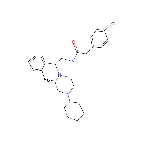 COc1ccccc1C(CNC(=O)Cc1ccc(Cl)cc1)N1CCN(C2CCCCC2)CC1